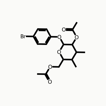 CC(=O)OCC1OC(Oc2ccc(Br)cc2)C(OC(C)=O)C(C)C1C